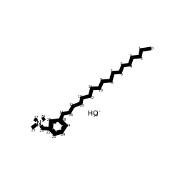 CCCCCCCCCCCCCCCCCCc1cccc(C[N+](C)(C)C)c1.[OH-]